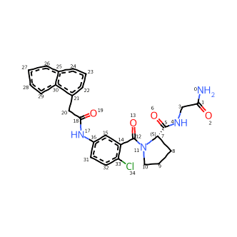 NC(=O)CNC(=O)[C@@H]1CCCN1C(=O)c1cc(NC(=O)Cc2cccc3ccccc23)ccc1Cl